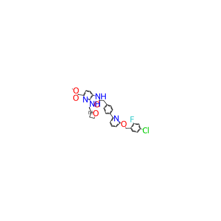 COC(=O)c1ccc(NC(=O)Cc2ccc(-c3cccc(OCc4ccc(Cl)cc4F)n3)cc2)c(NC[C@@H]2CCO2)n1